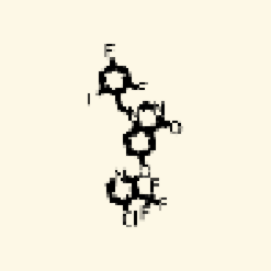 O=c1ncn(Cc2c(F)cc(F)cc2F)c2ccc(Oc3nccc(Cl)c3C(F)(F)F)cc12